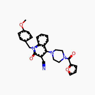 COc1ccc(Cn2c(=O)c(C#N)c(N3CCN(C(=O)c4ccco4)CC3)c3ccccc32)cc1